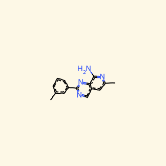 Cc1cccc(-c2ncc3cc(C)nc(N)c3n2)c1